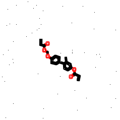 C=CC(=O)OCOc1ccc(-c2ccc(OC(=O)C=C)cc2C)cc1